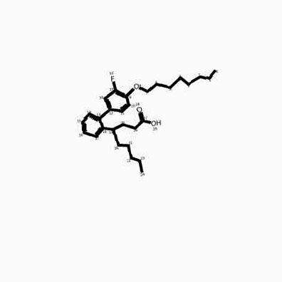 CCCCCCCCOc1ccc(-c2ccccc2C(CCCCC)CCC(=O)O)cc1F